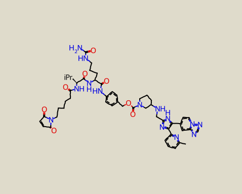 Cc1cccc(-c2nc(CNC3CCCN(C(=O)OCc4ccc(NC(=O)C(CCCNC(N)=O)NC(=O)[C@@H](NC(=O)CCCCCN5C(=O)C=CC5=O)C(C)C)cc4)C3)[nH]c2-c2ccn3ncnc3c2)n1